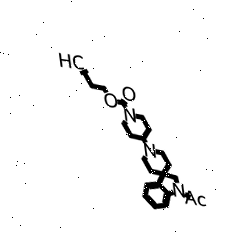 C#CCCOC(=O)N1CCC(N2CCC3(CC2)CN(C(C)=O)c2ccccc23)CC1